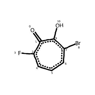 O=c1c(F)cccc(Br)c1O